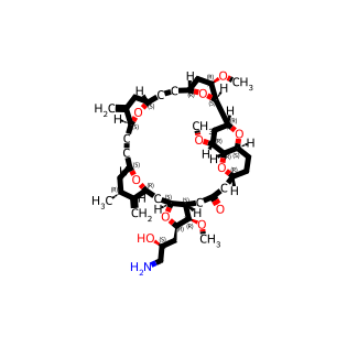 C=C1C[C@@H]2CC[C@@H]3C[C@@H](OC)[C@H](O3)[C@H]3C[C@@H](OC)[C@H]4O[C@H](CC[C@@H]4O3)CC(=O)C[C@@H]3[C@@H](OC)[C@@H](C[C@H](O)CN)O[C@H]3C[C@H]3O[C@@H](CC[C@@H]1O2)C[C@@H](C)C3=C